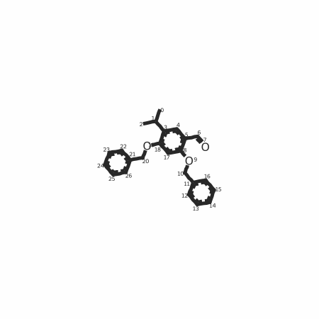 CC(C)c1cc(C=O)c(OCc2ccccc2)cc1OCc1ccccc1